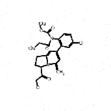 C=C1C=C(c2cc(Cl)ccc2N(C(=O)CC(C)(C)C)C(=O)OC(C)(C)C)C=C2CCC(C(=O)CCl)N12